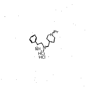 CC(C)N1CCC(CN(C)C[C@H](N)c2ccccc2)CC1.Cl.Cl